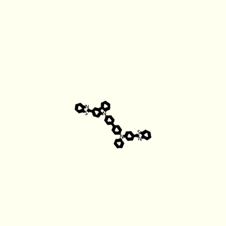 c1ccc(N(c2ccc(-c3ccc(-n4c5ccccc5c5cc(-c6nc7ccccc7s6)ccc54)cc3)cc2)c2ccc(-c3nc4ccccc4s3)cc2)cc1